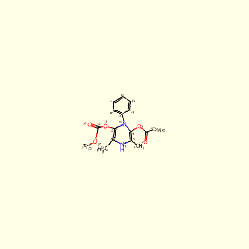 COC(=O)OC1=C(C)NC(C)=C(OC(=O)OC(C)C)N1c1ccccc1